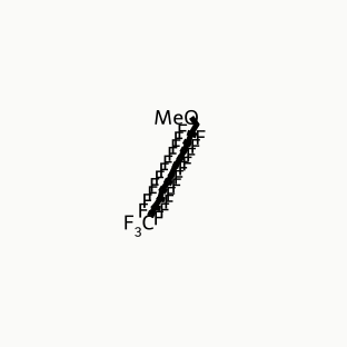 COCC(F)(F)C(F)(F)C(F)(F)C(F)(F)C(F)(F)C(F)(F)C(F)(F)C(F)(F)C(F)(F)C(F)(F)C(F)(F)C(F)(F)F